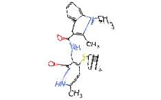 CSc1cc(C)[nH]c(=O)c1CNC(=O)c1c(C)n(C)c2ccccc12